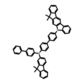 CC1(C)c2ccccc2-c2ccc(N(c3ccc(-c4ccccc4)cc3)c3ccc(-c4ccc(-n5c6ccccc6c6cc7c(cc65)C(C)(C)c5ccccc5-7)cc4)cc3)cc21